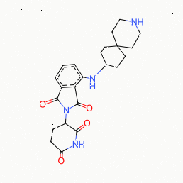 O=C1CCC(N2C(=O)c3cccc(NC4CCC5(CCNCC5)CC4)c3C2=O)C(=O)N1